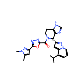 Cc1cc(-c2nnc(C(=O)N3CCc4[nH]cnc4[C@@H]3c3cc4c(C(C)C)cccn4n3)o2)nn1C